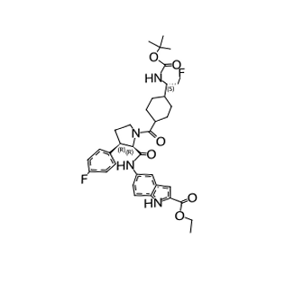 CCOC(=O)c1cc2cc(NC(=O)[C@H]3[C@@H](c4ccc(F)cc4)CCN3C(=O)C3CCC([C@@H](CF)NC(=O)OC(C)(C)C)CC3)ccc2[nH]1